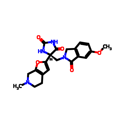 COc1ccc2c(c1)C(=O)N(C[C@@]1(c3cc4c(o3)CN(C)CC4)NC(=O)NC1=O)C2